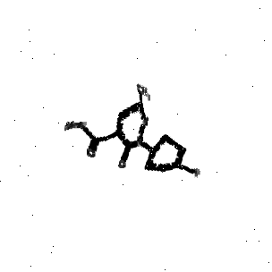 CNC(=O)c1cc(C)nn(-c2ccc(F)cc2)c1=O